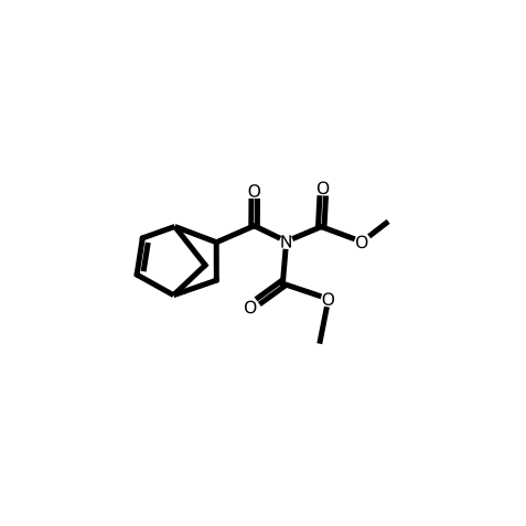 COC(=O)N(C(=O)OC)C(=O)C1CC2C=CC1C2